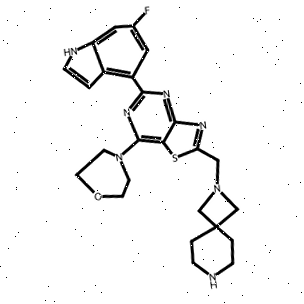 Fc1cc(-c2nc(N3CCOCC3)c3sc(CN4CC5(CCNCC5)C4)nc3n2)c2cc[nH]c2c1